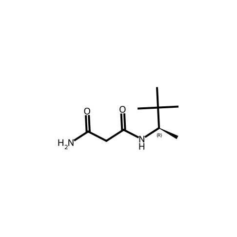 C[C@@H](NC(=O)CC(N)=O)C(C)(C)C